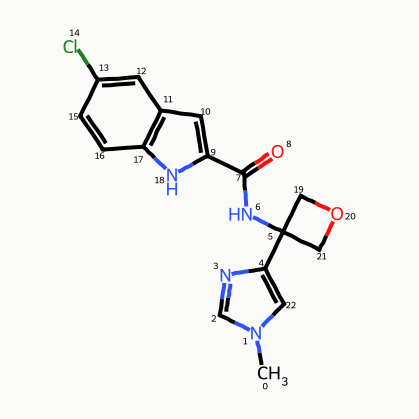 Cn1cnc(C2(NC(=O)c3cc4cc(Cl)ccc4[nH]3)COC2)c1